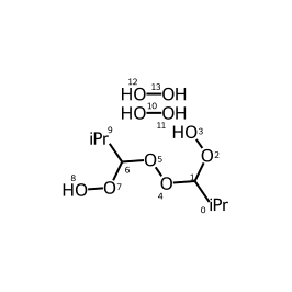 CC(C)C(OO)OOC(OO)C(C)C.OO.OO